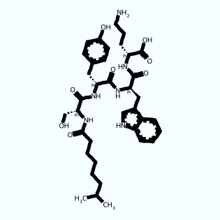 CC(C)CCCCCC(=O)N[C@H](CO)C(=O)N[C@H](Cc1ccc(O)cc1)C(=O)N[C@H](Cc1c[nH]c2ccccc12)C(=O)N[C@H](CCCN)C(=O)O